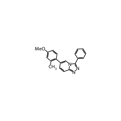 COc1ccc(-c2ccc3nnc(-c4ccccc4)n3c2)c(C)c1